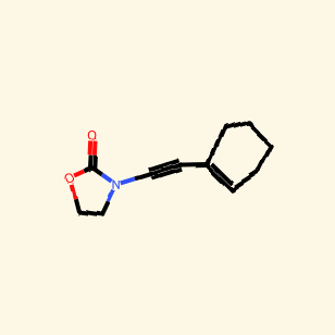 O=C1OCCN1C#CC1=CCCCC1